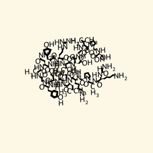 CC[C@H](C)[C@H](NC(=O)[C@H](CC(C)C)NC(=O)[C@H](CC(C)C)NC(=O)[C@H](CCCCN)NC(=O)[C@@H]1CCCN1C(=O)[C@H](C)NC(=O)[C@H](CCCCN)NC(=O)CN)C(=O)N[C@@H](Cc1ccc(O)cc1)C(=O)NCC(=O)N[C@@H](C)C(=O)N[C@@H](CC(N)=O)C(=O)N[C@@H](Cc1ccc(O)cc1)C(=O)N[C@@H](CCCNC(=N)N)C(=O)N[C@H](C(=O)N[C@@H](CC(=O)O)C(=O)NCC(=O)N[C@H](C(=O)N1CCC[C@H]1C(=O)N[C@@H](CO)C(=O)O)C(C)C)C(C)C